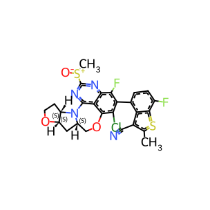 Cc1sc2c(F)ccc(-c3c(Cl)c4c5c(nc([S+](C)[O-])nc5c3F)N3[C@H](CO4)C[C@@H]4OCC[C@@H]43)c2c1C#N